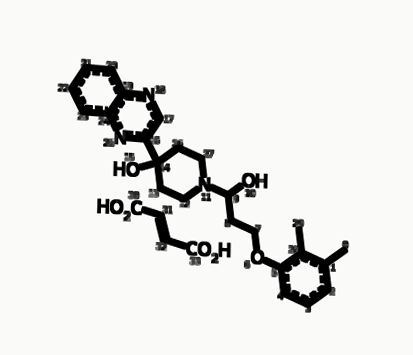 Cc1cccc(OCCC(O)N2CCC(O)(c3cnc4ccccc4n3)CC2)c1C.O=C(O)C=CC(=O)O